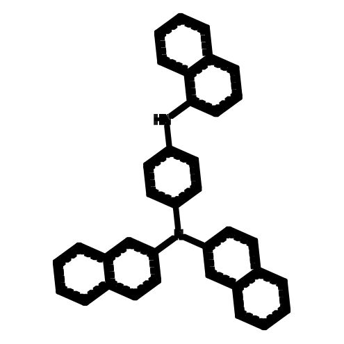 c1ccc2cc(N(c3ccc(Nc4cccc5ccccc45)cc3)c3ccc4ccccc4c3)ccc2c1